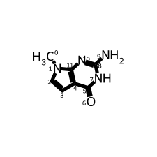 Cn1ccc2c(=O)[nH]c(N)nc21